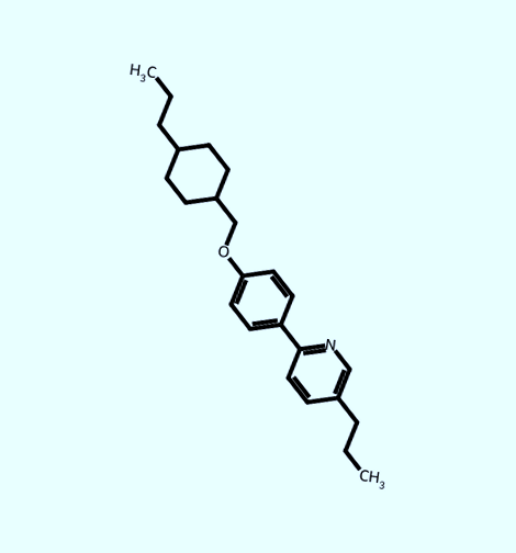 CCCc1ccc(-c2ccc(OCC3CCC(CCC)CC3)cc2)nc1